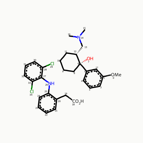 COc1cccc([C@@]2(O)CCCC[C@@H]2CN(C)C)c1.O=C(O)Cc1ccccc1Nc1c(Cl)cccc1Cl